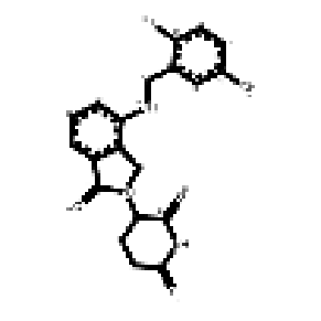 O=C1CCC(N2Cc3c(NCc4cc(O)ccc4F)cccc3C2=O)C(=O)N1